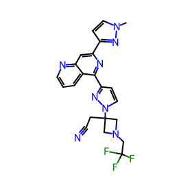 Cn1ccc(-c2cc3ncccc3c(-c3ccn(C4(CC#N)CN(CC(F)(F)F)C4)n3)n2)n1